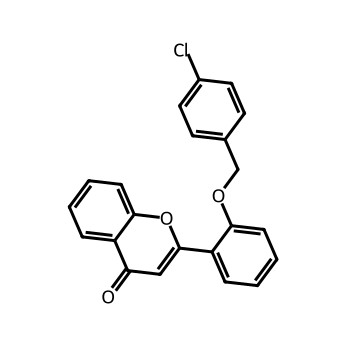 O=c1cc(-c2ccccc2OCc2ccc(Cl)cc2)oc2ccccc12